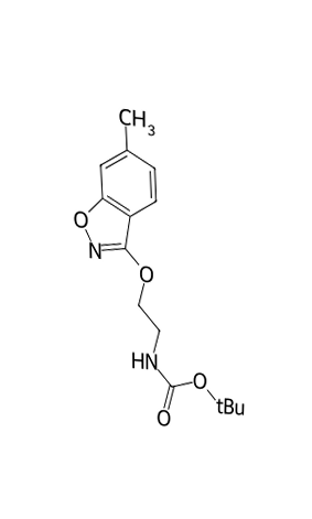 Cc1ccc2c(OCCNC(=O)OC(C)(C)C)noc2c1